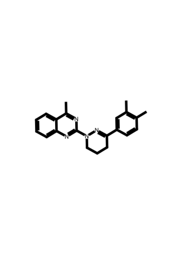 Cc1ccc(C2=NN(c3nc(C)c4ccccc4n3)CCC2)cc1C